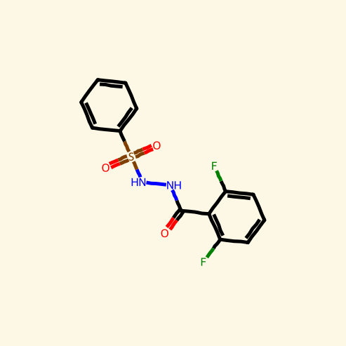 O=C(NNS(=O)(=O)c1ccccc1)c1c(F)cccc1F